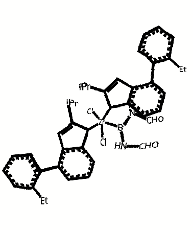 CCc1ccccc1-c1cccc2c1C=C(C(C)C)[CH]2[Zr]([Cl])([Cl])([B](NC=O)NC=O)[CH]1C(C(C)C)=Cc2c(-c3ccccc3CC)cccc21